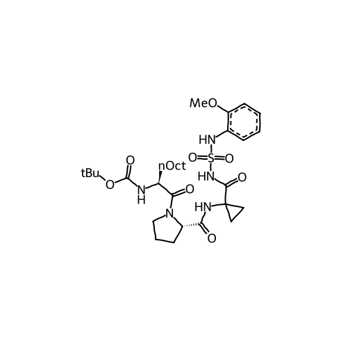 CCCCCCCC[C@H](NC(=O)OC(C)(C)C)C(=O)N1CCC[C@H]1C(=O)NC1(C(=O)NS(=O)(=O)Nc2ccccc2OC)CC1